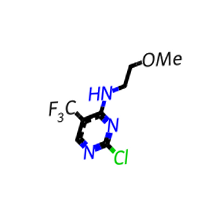 COCCNc1nc(Cl)ncc1C(F)(F)F